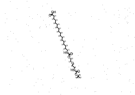 CC(C)(C)OC(=O)NCCOCCOC(=O)NCCCCCCCCCCCCCCCCCC(=O)O